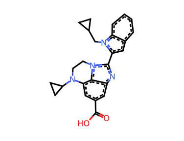 O=C(O)c1cc2c3c(c1)nc(-c1cc4ccccc4n1CC1CC1)n3CCN2C1CC1